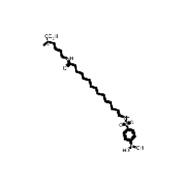 C[C@@H](CCCCNC(=O)CCCCCCCCCCCCCCNS(=O)(=O)c1ccc(B(O)O)cc1)C(=O)O